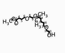 COC(=O)CCCOCCOC(C)(C)CCCCOCCO